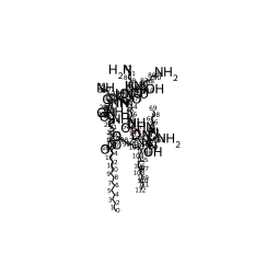 CCCCCCCCCCCCCCCC(=O)OCC(CSC[C@H](N)C(=O)N[C@@H](CO)C(=O)N[C@@H](CCCCN)C(=O)N[C@@H](CCCCNC(=O)c1ccc(Cn2c(O)nc3c(N)nc(NCCCC)nc32)cc1)C(=O)N[C@@H](CCCCN)C(=O)N[C@@H](CCCCN)C(=O)O)OC(=O)CCCCCCCCCCCCCCC